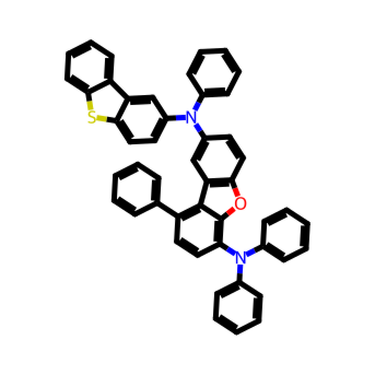 c1ccc(-c2ccc(N(c3ccccc3)c3ccccc3)c3oc4ccc(N(c5ccccc5)c5ccc6sc7ccccc7c6c5)cc4c23)cc1